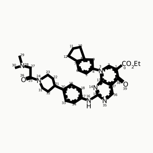 CCOC(=O)c1cn(-c2ccc3c(c2)CCC3)c2nc(Nc3ccc(C4CCN(C(=O)CN(C)C)CC4)cc3)ncc2c1=O